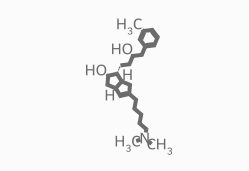 Cc1cccc(C[C@@H](O)CC[C@@H]2[C@H]3CC(CCCCCN(C)C)=C[C@H]3C[C@H]2O)c1